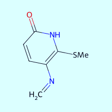 C=Nc1ccc(=O)[nH]c1SC